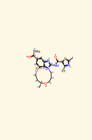 CCc1nc(C)sc1C(=O)Nc1nc2cc(C(=O)NC)cc3c2n1CCCO[C@@H](C)CCO3